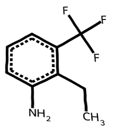 CCc1c(N)cccc1C(F)(F)F